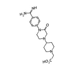 N=C(N)c1ccc(N2CCN(C3CCN(CC(=O)O)CC3)CC2=O)cc1